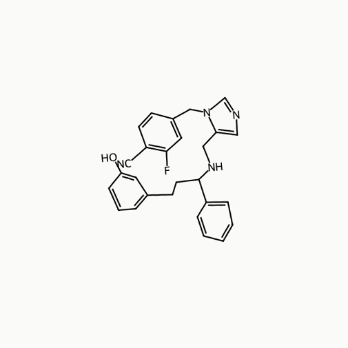 N#Cc1ccc(Cn2cncc2CNC(CCc2cccc(O)c2)c2ccccc2)cc1F